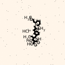 CCc1c(-c2ccc3c(c2)cc(CN2CCCCC2CCOC)n3C)[nH]c(=O)c(C(=O)O)c1O.Cl